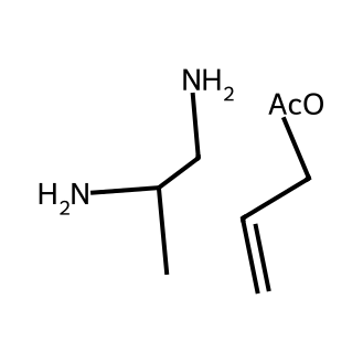 C=CCOC(C)=O.CC(N)CN